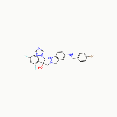 OC(CN1Cc2cc(NCc3ccc(Br)cc3)ccc2N1)(Cn1cncn1)c1ccc(F)cc1F